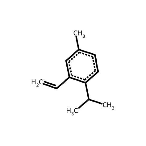 C=Cc1cc(C)ccc1C(C)C